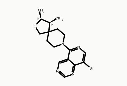 C[C@@H]1OCC2(CCN(c3ncc(Br)c4ncncc34)CC2)[C@@H]1N